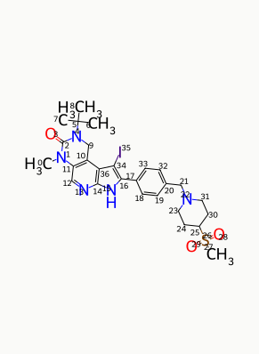 CN1C(=O)N(C(C)(C)C)Cc2c1cnc1[nH]c(-c3ccc(CN4CCC(S(C)(=O)=O)CC4)cc3)c(I)c21